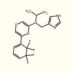 CC(C)N(Cc1c[nH]cn1)C1=COC=C(C2=CC=CC(F)(F)C2(F)F)O1